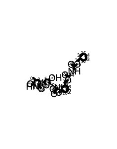 Cc1cn([C@H]2C[C@H](O)[C@@H](COP(N)(=O)Oc3cccc(COC(=O)CNCC(=O)OCc4ccccc4)c3)O2)c(=O)[nH]c1=O